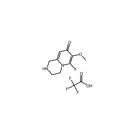 COc1c(F)n2c(cc1=O)CNCC2.O=C(O)C(F)(F)F